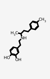 Cc1ccc(CCC(C)NCCc2ccc(O)c(O)c2)cc1